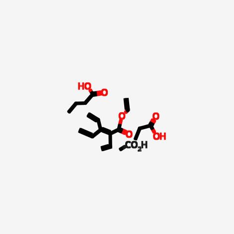 C=COC(=O)C(C=C)=C(C=C)C=C.CC(=O)O.CCC(=O)O.CCCC(=O)O